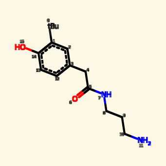 CC(C)(C)c1cc(CC(=O)NCCCN)ccc1O